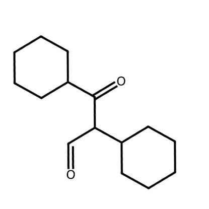 O=CC(C(=O)C1CCCCC1)C1CCCCC1